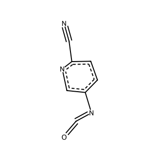 N#Cc1ccc(N=C=O)cn1